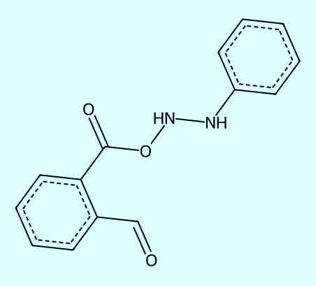 O=Cc1ccccc1C(=O)ONNc1ccccc1